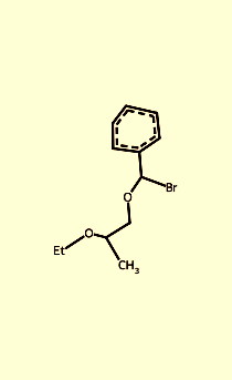 CCOC(C)COC(Br)c1ccccc1